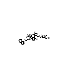 CN/C(=C\C(=N)CSCc1nn(C)c(C)c1-c1c(Cl)ccc2c1c(C)c(C(=O)O)n2CCCOc1cccc2c1CCCC2)CS